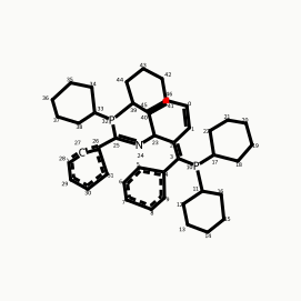 C1=CC(=C(c2ccccc2)P(C2CCCCC2)C2CCCCC2)C(N=C(c2ccccc2)P(C2CCCCC2)C2CCCCC2)C=C1